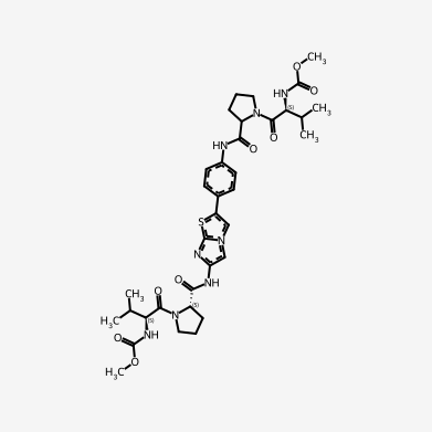 COC(=O)N[C@H](C(=O)N1CCCC1C(=O)Nc1ccc(-c2cn3cc(NC(=O)[C@@H]4CCCN4C(=O)[C@@H](NC(=O)OC)C(C)C)nc3s2)cc1)C(C)C